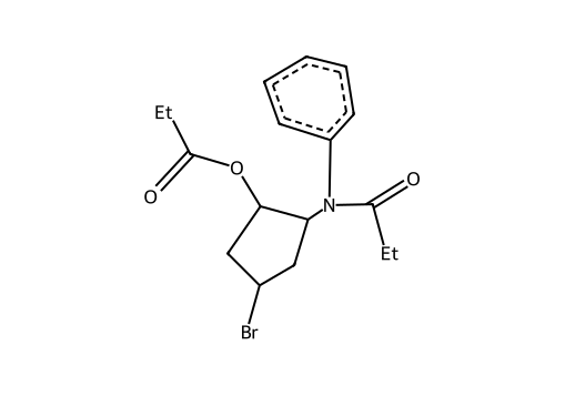 CCC(=O)OC1CC(Br)CC1N(C(=O)CC)c1ccccc1